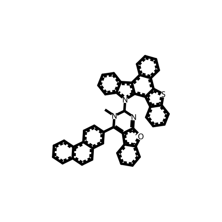 CN1C(c2ccc3c(ccc4ccccc43)c2)=c2c(oc3ccccc23)=NC1n1c2ccccc2c2c3ccccc3c3sc4ccccc4c3c21